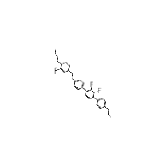 CCCCC1CCC(CCc2ccc(-c3ccc(-c4ccc(CCC)cc4)c(F)c3F)cc2)C=C1F